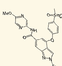 CCn1cc2c(Oc3ccc(S(C)(=O)=O)cc3)cc(C(=O)Nc3cnc(OC)cn3)cc2n1